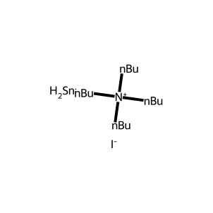 CCCC[N+](CCCC)(CCCC)CCCC.[I-].[SnH2]